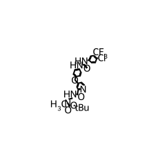 CN(CCNC(=O)c1cc(Oc2ccc(NC(=O)Nc3ccc(Cl)c(C(F)(F)F)c3)cc2)ccn1)C(=O)OC(C)(C)C